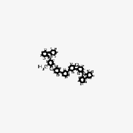 Cc1cc(-n2c3ccccc3c3ccccc32)ccc1Oc1ccc(-c2cccc(-c3ccc4oc5ccc(-n6c7ccccc7c7ccccc76)cc5c4c3)c2)cc1